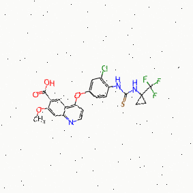 COc1cc2nccc(Oc3ccc(NC(=S)NC4(C(F)(F)F)CC4)c(Cl)c3)c2cc1C(=O)O